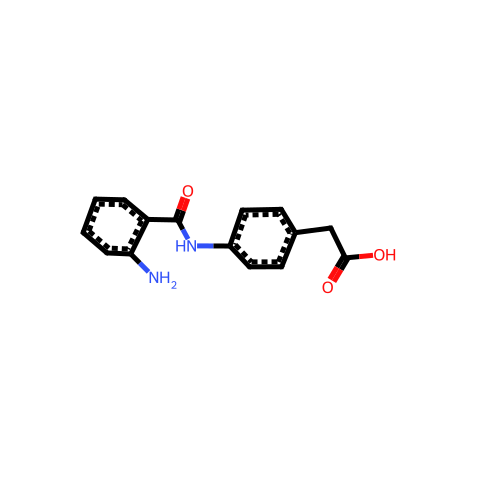 Nc1ccccc1C(=O)Nc1ccc(CC(=O)O)cc1